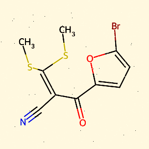 CSC(SC)=C(C#N)C(=O)c1ccc(Br)o1